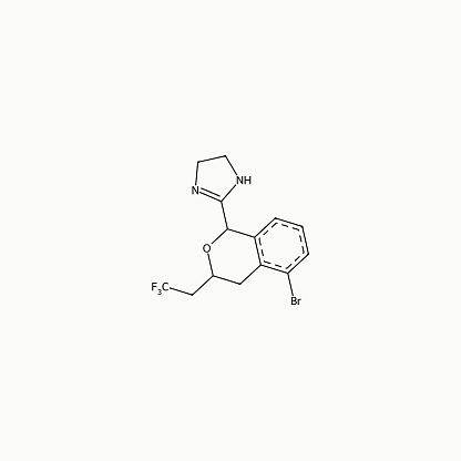 FC(F)(F)CC1Cc2c(Br)cccc2C(C2=NCCN2)O1